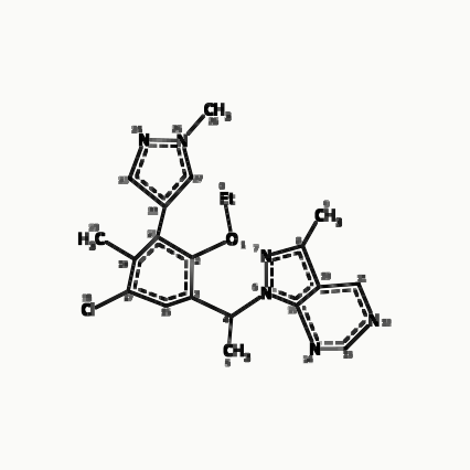 CCOc1c(C(C)n2nc(C)c3cncnc32)cc(Cl)c(C)c1-c1cnn(C)c1